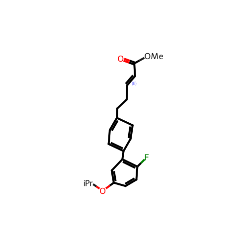 COC(=O)/C=C/CCc1ccc(-c2cc(OC(C)C)ccc2F)cc1